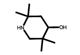 CC1(C)C[C](O)C(C)(C)CN1